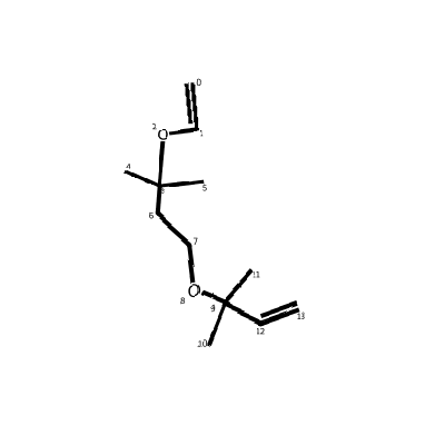 C=COC(C)(C)CCOC(C)(C)C=C